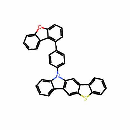 c1ccc2c(c1)oc1cccc(-c3ccc(-n4c5ccccc5c5cc6sc7ccccc7c6cc54)cc3)c12